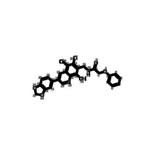 O=C(COc1ccccc1)NCc1c(Cl)c(Cl)c2cc(-c3ccc4c(c3)OCO4)cnc2c1O